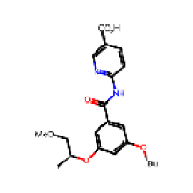 CC[C@H](C)Oc1cc(O[C@@H](C)COC)cc(C(=O)Nc2ccc(C(=O)O)cn2)c1